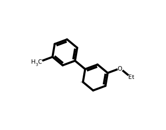 CCOC1=CC[CH]C(c2cccc(C)c2)=C1